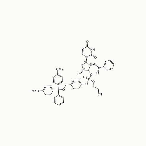 CC[C@H]1O[C@@H](n2ccc(=O)[nH]c2=O)[C@@H](OC(=O)c2ccccc2)C1OP(=O)(OCCC#N)Oc1ccc(COC(c2ccccc2)(c2ccc(OC)cc2)c2ccc(OC)cc2)cc1